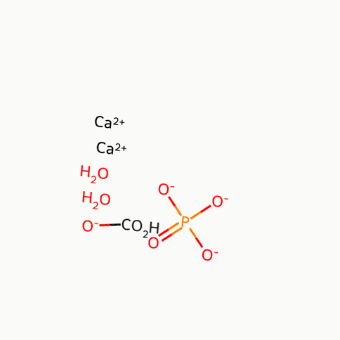 O.O.O=C([O-])O.O=P([O-])([O-])[O-].[Ca+2].[Ca+2]